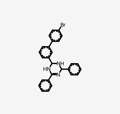 Brc1ccc(-c2cccc(C3NC(c4ccccc4)=NC(c4ccccc4)N3)c2)cc1